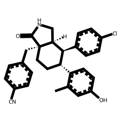 Cc1cc(O)ccc1[C@@H]1CC[C@@]2(Cc3ccc(C#N)cc3)C(=O)NC[C@H]2[C@H]1c1ccc(Cl)cc1